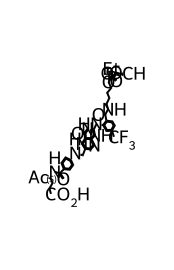 C#COP(=O)(OCC)OCCCCNC(=O)c1ccc(C(F)(F)F)cc1Nc1nc(=O)c2nc(CNc3ccc(C(=O)N[C@@H](CCC(=O)O)C(C)=O)cc3)cnc2[nH]1